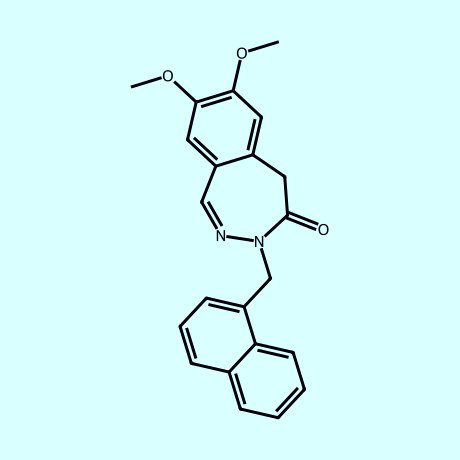 COc1cc2c(cc1OC)CC(=O)N(Cc1cccc3ccccc13)N=C2